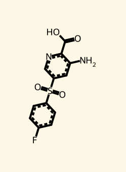 Nc1cc(S(=O)(=O)c2ccc(F)cc2)cnc1C(=O)O